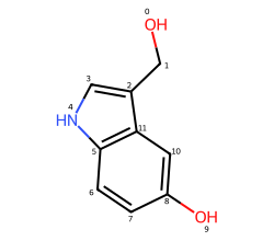 OCc1c[nH]c2ccc(O)cc12